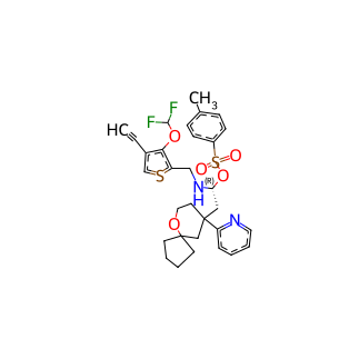 C#Cc1csc(CN[C@@H](CC2(c3ccccn3)CCOC3(CCCC3)C2)OS(=O)(=O)c2ccc(C)cc2)c1OC(F)F